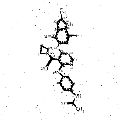 CC(=O)Nc1ccc(Nc2ncnc(Oc3cc(F)c4[nH]c(C)cc4c3F)c2C(=O)N2CCC2)cc1